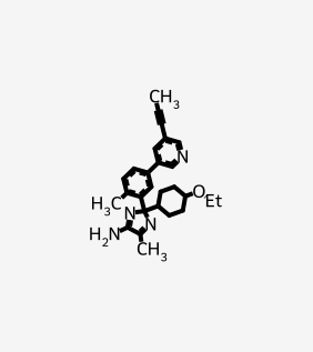 CC#Cc1cncc(-c2ccc(C)c(C3(C4CCC(OCC)CC4)N=C(C)C(N)=N3)c2)c1